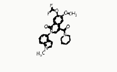 COc1cc2c(C(=O)N3CCCCC3)cn(-c3cccc4c3ccn4C)c(=O)c2cc1OC(F)F